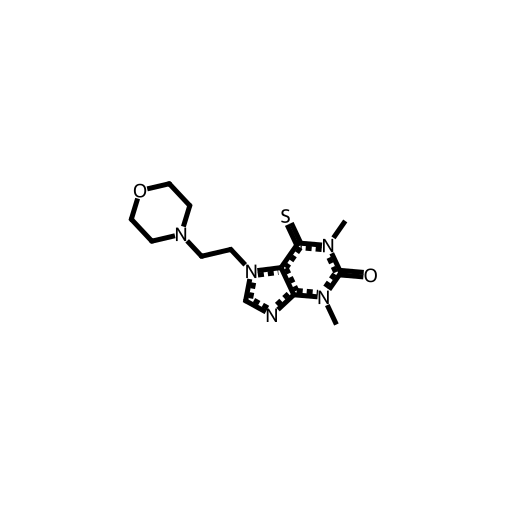 Cn1c(=S)c2c(ncn2CCN2CCOCC2)n(C)c1=O